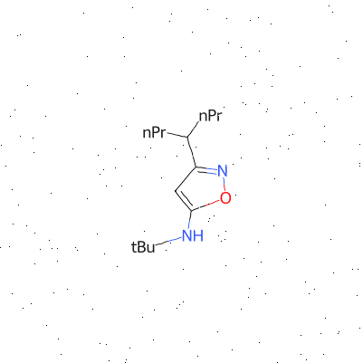 CCCC(CCC)c1cc(NC(C)(C)C)on1